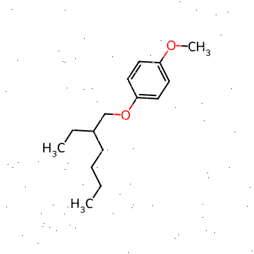 CCCCC(CC)COc1ccc(OC)cc1